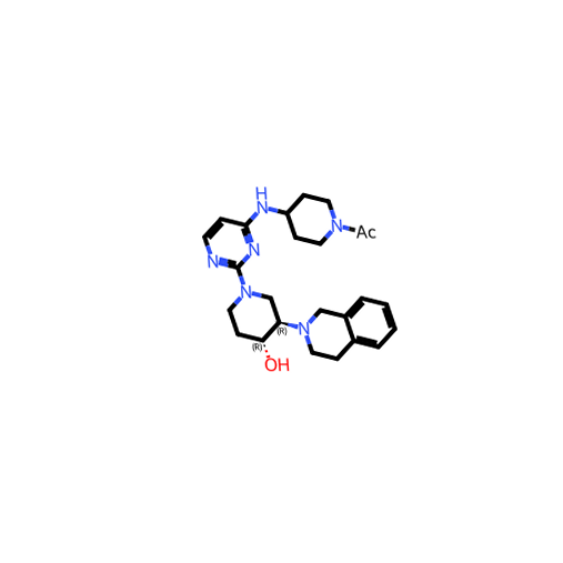 CC(=O)N1CCC(Nc2ccnc(N3CC[C@@H](O)[C@H](N4CCc5ccccc5C4)C3)n2)CC1